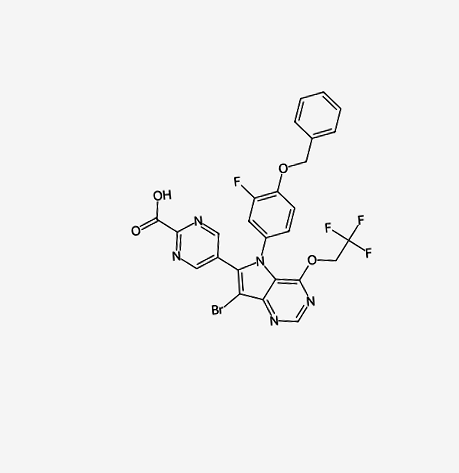 O=C(O)c1ncc(-c2c(Br)c3ncnc(OCC(F)(F)F)c3n2-c2ccc(OCc3ccccc3)c(F)c2)cn1